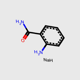 NC(=O)c1ccccc1N.[NaH]